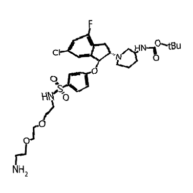 CC(C)(C)OC(=O)NC1CCCN([C@H]2Cc3c(F)cc(Cl)cc3[C@@H]2Oc2ccc(S(=O)(=O)NCCOCCOCCN)cc2)C1